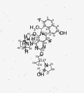 CCc1c(F)ccc2cc(O)cc(-c3nc4c5c(nc(OCC6(CN7CCC[C@@H]7CO)CC6)nc5c3F)N3C[C@@H]5CC[C@@H](N5)[C@H]3CO4)c12